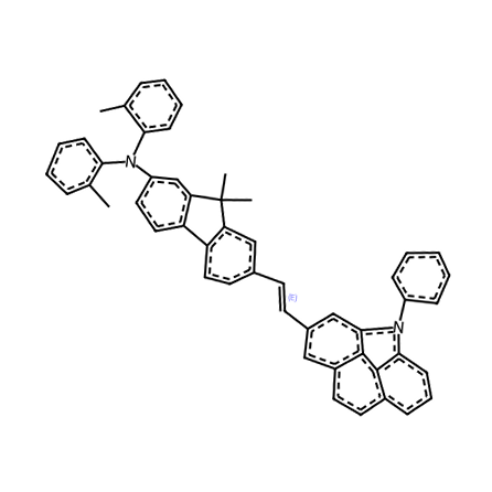 Cc1ccccc1N(c1ccc2c(c1)C(C)(C)c1cc(/C=C/c3cc4ccc5cccc6c5c4c(c3)n6-c3ccccc3)ccc1-2)c1ccccc1C